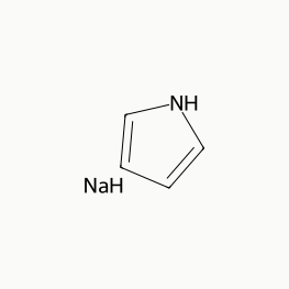 [NaH].c1cc[nH]c1